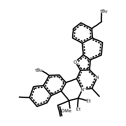 C=CC1(OC)c2c(cc(C(C)(C)C)c3cc(C)ccc23)-c2c3oc4c5cccc(CC(C)(C)C)c5ccc4c3nc(C)[n+]2C1(CC)CC